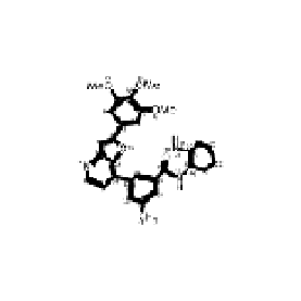 COc1cc(-c2cc3nccc(-c4cc(C)cc(C(=O)N[C@@H]5CCCC[C@@H]5N)c4)c3o2)cc(OC)c1OC